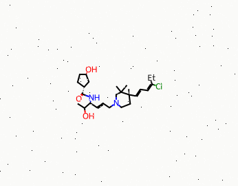 CC/C(Cl)=C\C=C\[C@]1(C)CCN(C/C=C/[C@H](NC(=O)[C@@H]2CC[C@H](O)C2)C(C)O)CC1(C)C